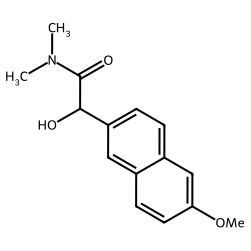 COc1ccc2cc(C(O)C(=O)N(C)C)ccc2c1